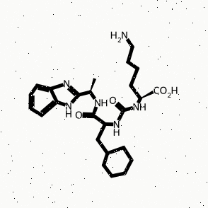 C[C@@H](NC(=O)C(CC1CCCCC1)NC(=O)N[C@@H](CCCCN)C(=O)O)c1nc2ccccc2[nH]1